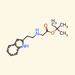 CC(C)(C)OC(=O)CNCCc1cc2ccccc2[nH]1